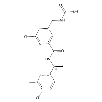 Cc1cc([C@H](C)NC(=O)c2cc(CNC(=O)O)cc(Cl)n2)ccc1Cl